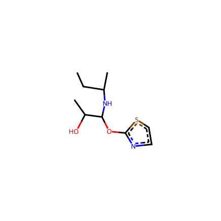 CCC(C)NC(Oc1nccs1)C(C)O